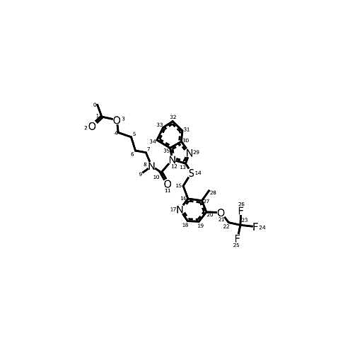 CC(=O)OCCCCN(C)C(=O)n1c(SCc2nccc(OCC(F)(F)F)c2C)nc2ccccc21